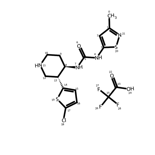 Cc1cc(NC(=O)N[C@@H]2CCNC[C@H]2c2ccc(Cl)s2)sn1.O=C(O)C(F)(F)F